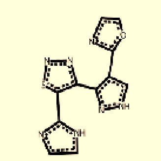 c1c[nH]c(-c2snnc2-c2n[nH]cc2-c2ncco2)n1